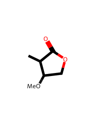 COC1COC(=O)C1C